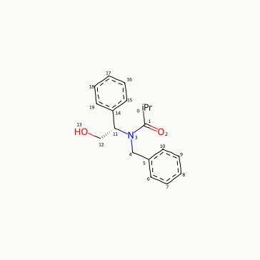 CC(C)C(=O)N(Cc1ccccc1)[C@H](CO)c1ccccc1